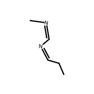 CC/C=N\C=N/C